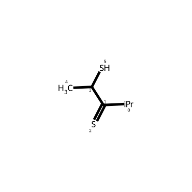 CC(C)C(=S)C(C)S